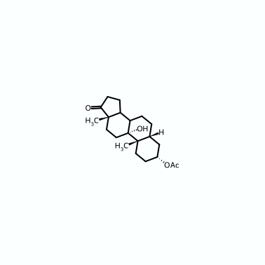 CC(=O)O[C@@H]1CC[C@@]2(C)[C@H](CCC3C4CCC(=O)[C@@]4(C)CC[C@@]32O)C1